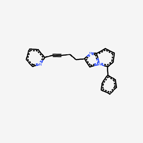 C(#Cc1ccccn1)CCc1cn2c(-c3ccccc3)cccc2n1